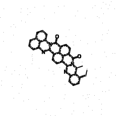 C/C=c1/cccc2nc3c4ccc5c6c(ccc(c(=O)n3c(C)c12)c46)c(=O)n1c2cccc3cccc(nc51)c32